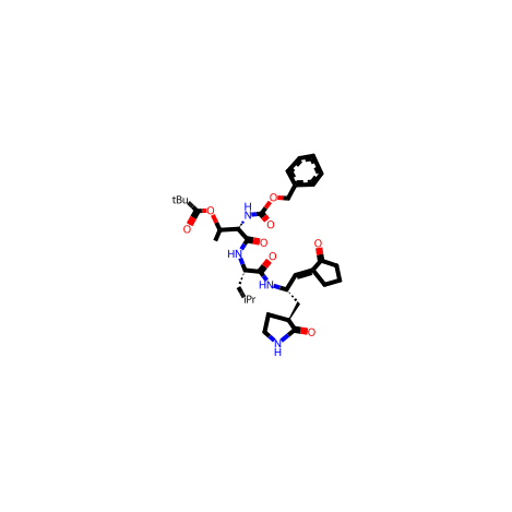 CC(C)C[C@H](NC(=O)[C@@H](NC(=O)OCc1ccccc1)C(C)OC(=O)C(C)(C)C)C(=O)N[C@H](/C=C1\CCCC1=O)C[C@@H]1CCNC1=O